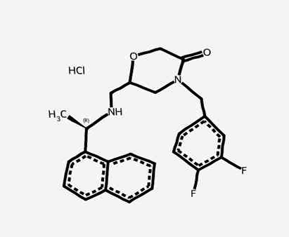 C[C@@H](NCC1CN(Cc2ccc(F)c(F)c2)C(=O)CO1)c1cccc2ccccc12.Cl